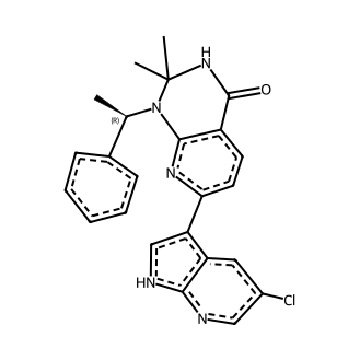 C[C@H](c1ccccc1)N1c2nc(-c3c[nH]c4ncc(Cl)cc34)ccc2C(=O)NC1(C)C